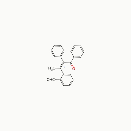 C/C(=C(/C(=O)c1ccccc1)c1ccccc1)c1ccccc1C=O